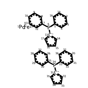 [Fe+2].[Pd].c1ccc(P(c2ccccc2)[c-]2cccc2)cc1.c1ccc(P(c2ccccc2)[c-]2cccc2)cc1